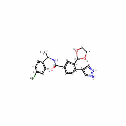 C[C@@H](NC(=O)c1ccc(-c2cn[nH]c2)c(C2OCCO2)c1)c1ccc(F)cc1